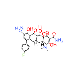 CN(C)[C@@H]1C(O)=C(C(N)=O)C(=O)[C@@]2(O)C(O)=C3C(=O)c4c(O)c(CN)cc(-c5ccc(F)cc5)c4C[C@H]3C[C@@H]12